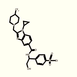 CCS(=O)(=O)c1ccc(C(CO)NC(=O)c2ccc3c(c2)nc(CN2CCC(C(F)(F)F)CC2)n3C2CC2)cc1